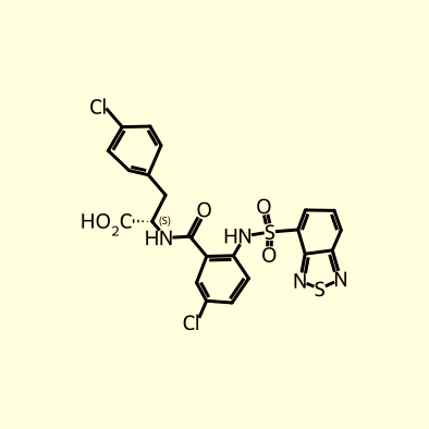 O=C(N[C@@H](Cc1ccc(Cl)cc1)C(=O)O)c1cc(Cl)ccc1NS(=O)(=O)c1cccc2nsnc12